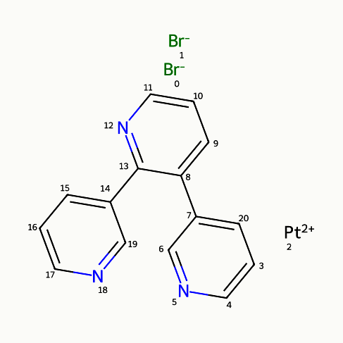 [Br-].[Br-].[Pt+2].c1cncc(-c2cccnc2-c2cccnc2)c1